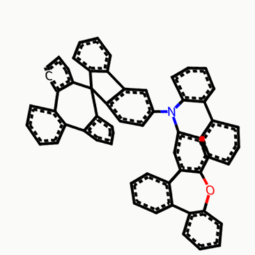 c1ccc(-c2ccccc2N(c2ccc3c(c2)-c2ccccc2-c2ccccc2O3)c2ccc3c(c2)-c2ccccc2C32c3ccccc3-c3ccccc3-c3ccccc32)cc1